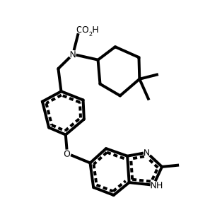 Cc1nc2cc(Oc3ccc(CN(C(=O)O)C4CCC(C)(C)CC4)cc3)ccc2[nH]1